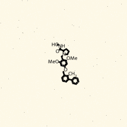 COc1cc(OCc2cccc(-c3ccccc3)c2C)cc(OC)c1CN1CCCC1C(=O)NO